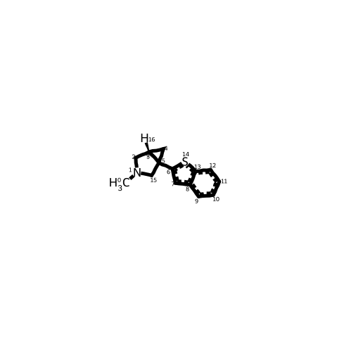 CN1C[C@@H]2CC2(c2cc3ccccc3s2)C1